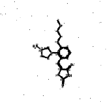 COCCOc1cccc(C=C2SC(=O)NC2=O)c1N1CC[C@H](N)C1